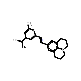 [C-]#[N+]C(C#N)C1C=C(C)OC(/C=C/c2cc3c4c(c2)CCCN4CCC3)=C1